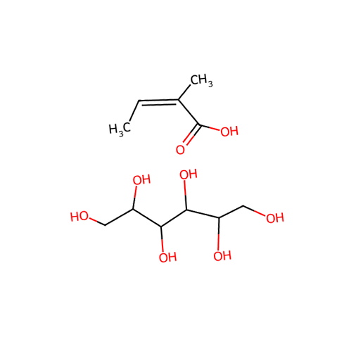 CC=C(C)C(=O)O.OCC(O)C(O)C(O)C(O)CO